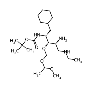 CCNC[C@H](N)[C@@H](OCOC(C)OC)[C@H](CC1CCCCC1)NC(=O)OC(C)(C)C